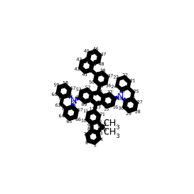 CC1(C)c2ccccc2-c2ccc(-c3c4ccc(N5C6=C(C=CCC6)Cc6ccccc65)cc4c(-c4cccc(-c5cccc6ccccc56)c4)c4ccc(N5c6ccccc6Cc6ccccc65)cc34)cc21